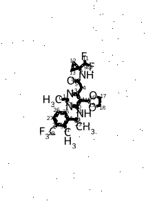 Cc1nc(CC(=O)NC2(C(F)F)CC2)c(C2OCCO2)c(N[C@H](C)c2cccc(C(F)(F)F)c2C)n1